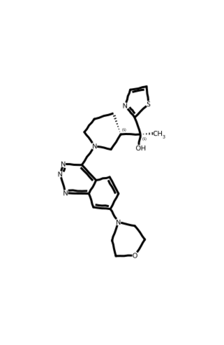 C[C@@](O)(c1nccs1)[C@H]1CCCN(c2nnnc3cc(N4CCOCC4)ccc23)C1